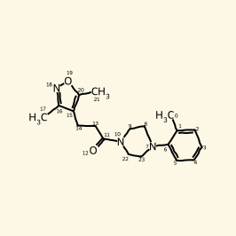 Cc1ccccc1N1CCN(C(=O)CCc2c(C)noc2C)CC1